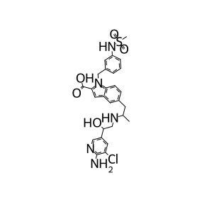 CC(Cc1ccc2c(c1)cc(C(=O)O)n2Cc1cccc(NS(C)(=O)=O)c1)NCC(O)c1cnc(N)c(Cl)c1